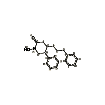 O=C1CC(CCCc2ccccc2)C(c2ccccc2)CN1O